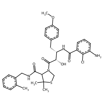 COc1ccc(C[C@H](NC(=O)c2cccc(N)c2Cl)[C@H](O)C(=O)N2CSC(C)(C)C2C(=O)NCc2ccccc2C)cc1